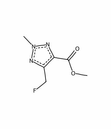 COC(=O)c1nn(C)nc1CF